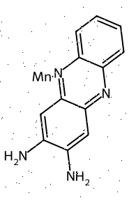 Nc1cc2nc3ccccc3nc2cc1N.[Mn]